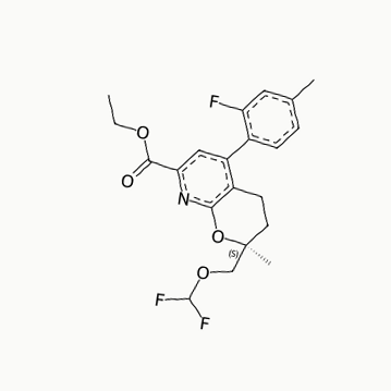 CCOC(=O)c1cc(-c2ccc(C)cc2F)c2c(n1)O[C@](C)(COC(F)F)CC2